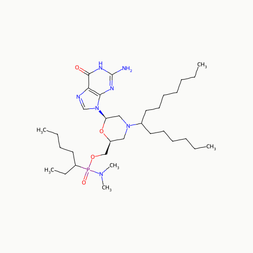 CCCCCCCC(CCCCCC)N1C[C@@H](COP(=O)(C(CC)CCCC)N(C)C)O[C@@H](n2cnc3c(=O)[nH]c(N)nc32)C1